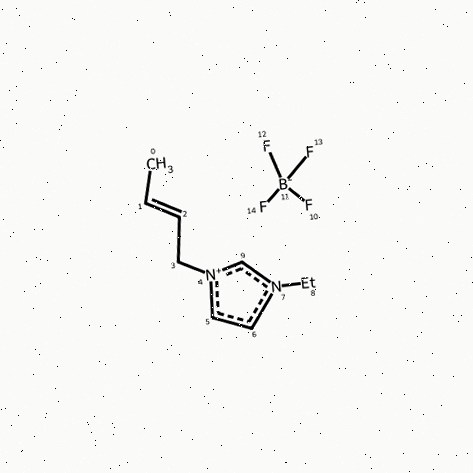 CC=CC[n+]1ccn(CC)c1.F[B-](F)(F)F